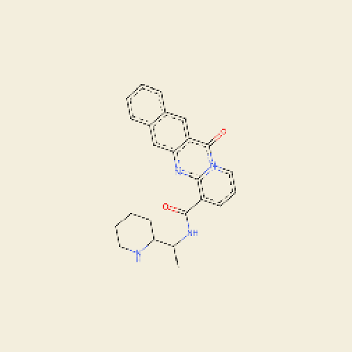 CC(NC(=O)c1cccn2c(=O)c3cc4ccccc4cc3nc12)C1CCCCN1